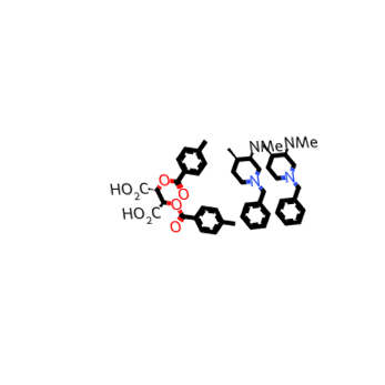 CN[C@H]1CN(Cc2ccccc2)CC[C@H]1C.CN[C@H]1CN(Cc2ccccc2)CC[C@H]1C.Cc1ccc(C(=O)O[C@@H](C(=O)O)[C@@H](OC(=O)c2ccc(C)cc2)C(=O)O)cc1